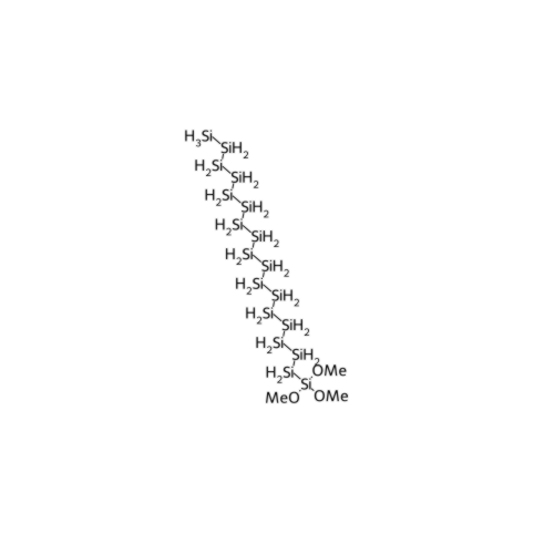 CO[Si](OC)(OC)[SiH2][SiH2][SiH2][SiH2][SiH2][SiH2][SiH2][SiH2][SiH2][SiH2][SiH2][SiH2][SiH2][SiH2][SiH2][SiH2][SiH3]